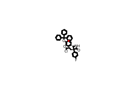 O=C(Cl)CC[C@]1(c2ccc(F)cc2)C(=O)N[C@H]1c1ccc(OC(c2ccccc2)(c2ccccc2)c2ccccc2)cc1